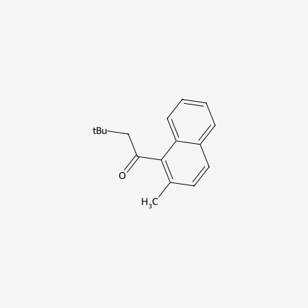 Cc1ccc2ccccc2c1C(=O)CC(C)(C)C